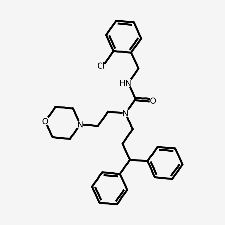 O=C(NCc1ccccc1Cl)N(CCC(c1ccccc1)c1ccccc1)CCN1CCOCC1